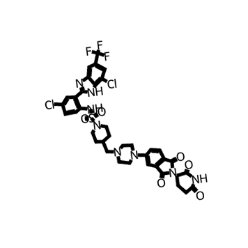 O=C1CCC(N2C(=O)c3ccc(N4CCN(CC5CCN(S(=O)(=O)Nc6ccc(Cl)cc6-c6nc7cc(C(F)(F)F)cc(Cl)c7[nH]6)CC5)CC4)cc3C2=O)C(=O)N1